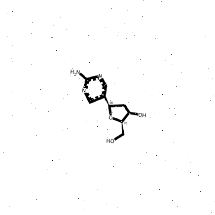 Nc1ncc([C@H]2CC(O)[C@@H](CO)O2)cn1